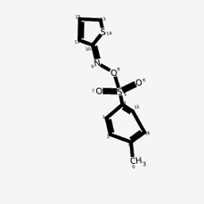 Cc1ccc(S(=O)(=O)O/N=C2/C=C[C]S2)cc1